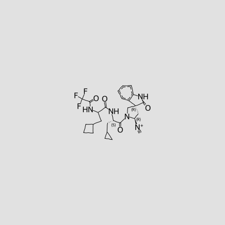 C#[N+][C@@H]1C[C@@]2(CN1C(=O)[C@H](CC1CC1)NC(=O)C(CC1CCC1)NC(=O)C(F)(F)F)C(=O)Nc1ccccc12